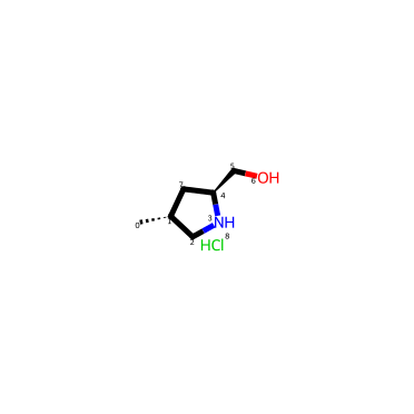 C[C@H]1CN[C@H](CO)C1.Cl